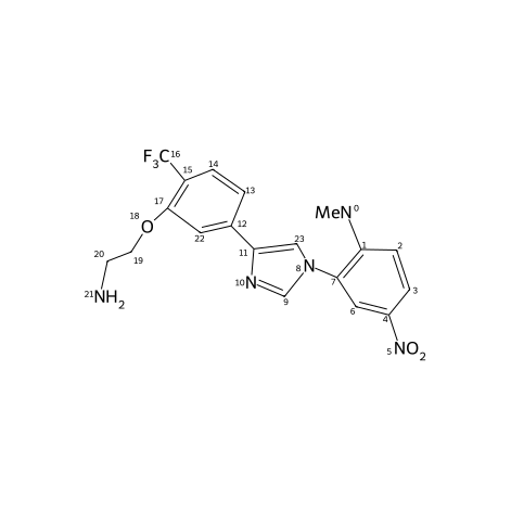 CNc1ccc([N+](=O)[O-])cc1-n1cnc(-c2ccc(C(F)(F)F)c(OCCN)c2)c1